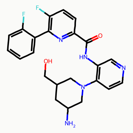 NC1CC(CO)CN(c2ccncc2NC(=O)c2ccc(F)c(-c3ccccc3F)n2)C1